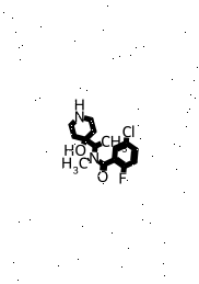 CC(N(C)C(=O)c1cc(Cl)ccc1F)C1(O)CCNCC1